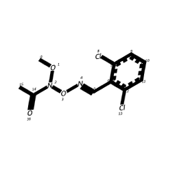 CON(ON=Cc1c(Cl)cccc1Cl)C(C)=O